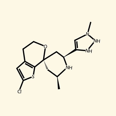 C[C@H]1C[C@@]2(C[C@@H](C3=CN(C)NN3)N1)OCCc1cc(Cl)sc12